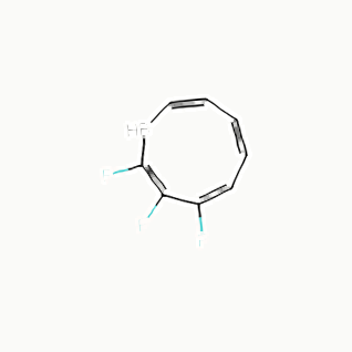 FC1=CC=CC=CBC(F)=C1F